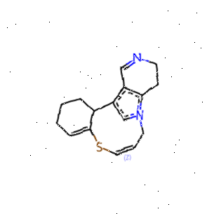 C1=NCCc2c1c1cn2C/C=C\SC2=CCCCC21